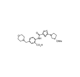 CO[C@H]1CCN(c2nc(C(=O)Nc3ccc(CN4CCOCC4)cc3C(=O)O)cs2)C1